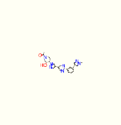 CC(=O)N1CCC(n2cc(-c3cnc(-c4cccc(-c5cnn(C)c5)c4)nc3)cn2)[C@H](O)C1